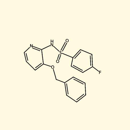 O=S(=O)(Nc1ncccc1OCc1ccccc1)c1ccc(F)cc1